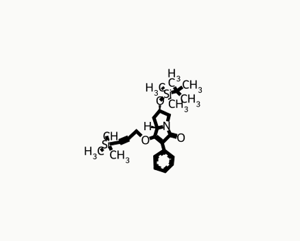 CC(C)(C)[Si](C)(C)O[C@@H]1C[C@H]2C(OCC#C[Si](C)(C)C)=C(c3ccccc3)C(=O)N2C1